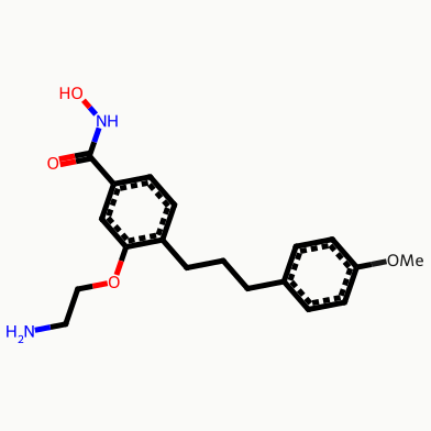 COc1ccc(CCCc2ccc(C(=O)NO)cc2OCCN)cc1